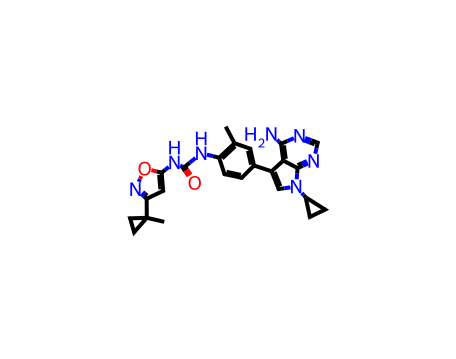 Cc1cc(-c2cn(C3CC3)c3ncnc(N)c23)ccc1NC(=O)Nc1cc(C2(C)CC2)no1